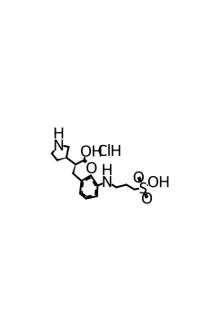 Cl.O=C(O)[C@@H](Cc1cccc(NCCCS(=O)(=O)O)c1)[C@H]1CCNC1